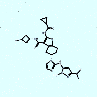 Cn1nc(C(F)F)cc1Nc1nncn1[C@H]1CCc2sc(NC(=O)C3CC3)c(C(=O)N[C@H]3C[C@H](F)C3)c2C1